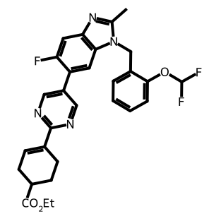 CCOC(=O)C1CC=C(c2ncc(-c3cc4c(cc3F)nc(C)n4Cc3ccccc3OC(F)F)cn2)CC1